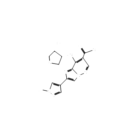 CC[C@H]1CNC[C@H]1Nc1c(C(N)=O)cnn2cc(-c3cnn(CC)c3)nc12